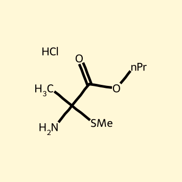 CCCOC(=O)C(C)(N)SC.Cl